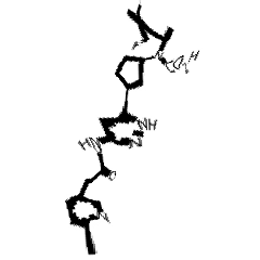 Cc1ccc(CC(=O)Nc2cc([C@H]3CC[C@@H](N(C(=O)O)C(C)C(C)(F)F)C3)[nH]n2)cn1